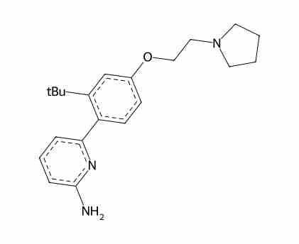 CC(C)(C)c1cc(OCCN2CCCC2)ccc1-c1cccc(N)n1